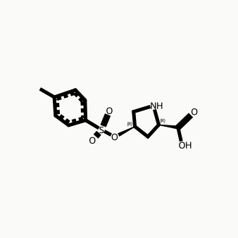 Cc1ccc(S(=O)(=O)O[C@H]2CN[C@@H](C(=O)O)C2)cc1